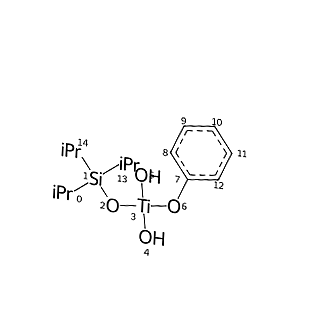 CC(C)[Si]([O][Ti]([OH])([OH])[O]c1ccccc1)(C(C)C)C(C)C